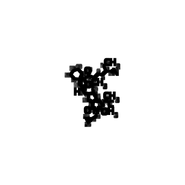 C=C/C(C#N)=C\C=C(/C)C(=O)NC1(CC(=O)Nc2cc3c(=O)n(CC4CC4)c(=O)n(C(C)C)c3cc2F)CCCCC1